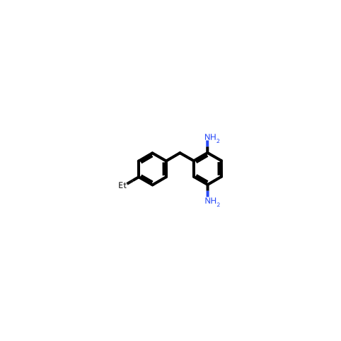 CCc1ccc(Cc2cc(N)ccc2N)cc1